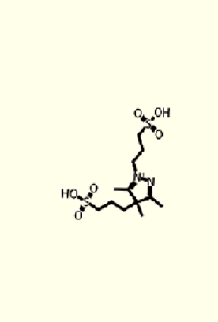 CC1=N[N+](CCCS(=O)(=O)O)=C(C)C1(C)CCCS(=O)(=O)O